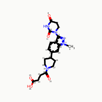 Cn1nc(N2CCC(=O)NC2=O)c2ccc(C3CCN(C(=O)CCC(=O)O)CC3)cc21